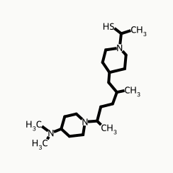 CC(CCC(C)N1CCC(N(C)C)CC1)CC1CCN(C(C)S)CC1